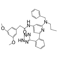 CCCN(Cc1ccccc1)c1cc(NC(=O)Cc2cc(OC)cc(OC)c2)cc(-c2ccccc2-c2nn[nH]n2)n1